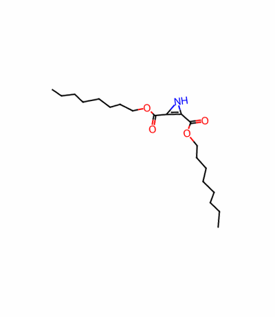 CCCCCCCCOC(=O)C1=C(C(=O)OCCCCCCCC)N1